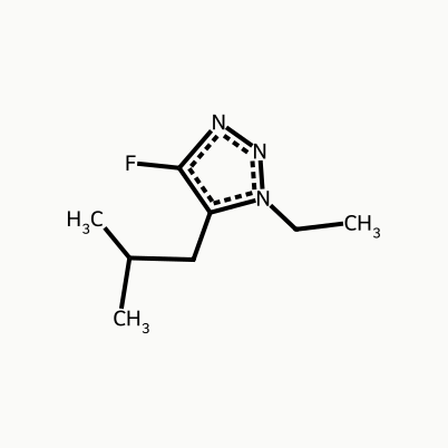 CCn1nnc(F)c1CC(C)C